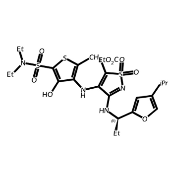 CCOC(=O)C1=C(Nc2c(C)sc(S(=O)(=O)N(CC)CC)c2O)C(N[C@H](CC)c2cc(C(C)C)co2)=NS1(=O)=O